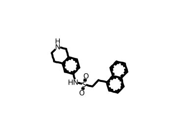 O=S(=O)(CCc1cccc2ccccc12)Nc1ccc2c(c1)CCNC2